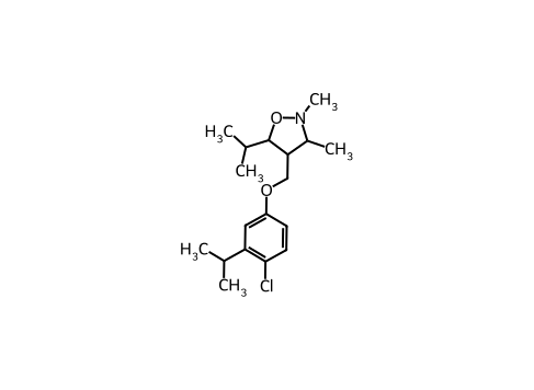 CC(C)c1cc(OCC2C(C(C)C)ON(C)C2C)ccc1Cl